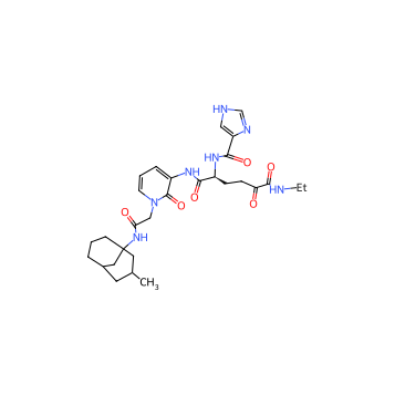 CCNC(=O)C(=O)CC[C@H](NC(=O)c1c[nH]cn1)C(=O)Nc1cccn(CC(=O)NC23CCCC(CC(C)C2)C3)c1=O